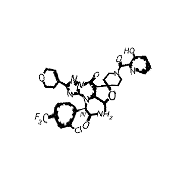 CC1OC2(CCN(C(=O)c3ncccc3O)CC2)c2c1n([C@@H](C(N)=O)c1ccc(C(F)(F)F)cc1Cl)c1nc(C3=CCOCC3)nn1c2=O